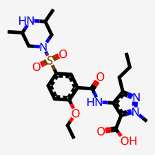 CCCc1nn(C)c(C(=O)O)c1NC(=O)c1cc(S(=O)(=O)N2CC(C)NC(C)C2)ccc1OCC